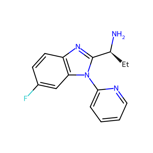 CC[C@H](N)c1nc2ccc(F)cc2n1-c1ccccn1